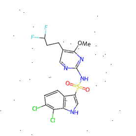 COc1nc(NS(=O)(=O)c2c[nH]c3c(Cl)c(Cl)ccc23)ncc1CCC(F)F